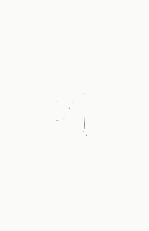 CCCCC(C)(CC)CN=O